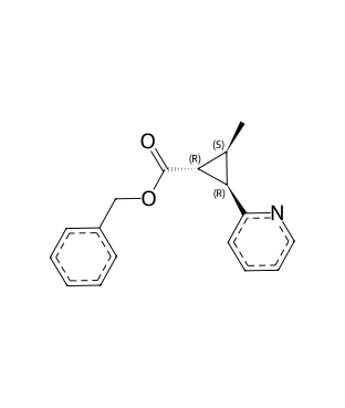 C[C@@H]1[C@@H](C(=O)OCc2ccccc2)[C@@H]1c1ccccn1